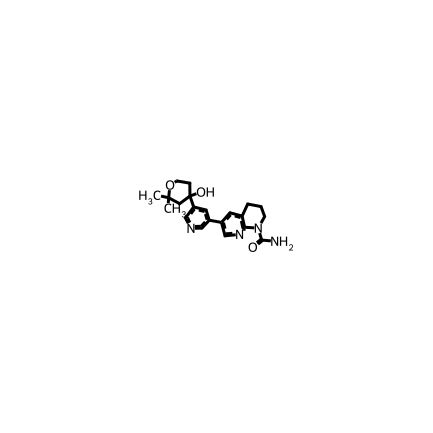 CC1(C)CC(O)(c2cncc(-c3cnc4c(c3)CCCN4C(N)=O)c2)CCO1